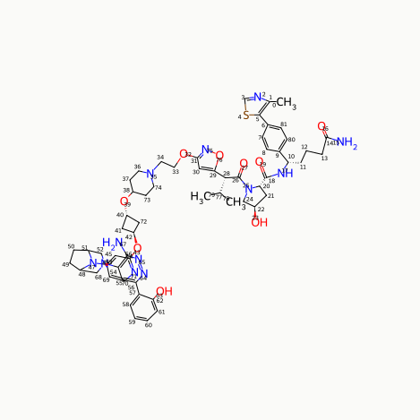 Cc1ncsc1-c1ccc([C@H](CCCC(N)=O)NC(=O)[C@@H]2C[C@@H](O)CN2C(=O)[C@@H](c2cc(OCCN3CCC(O[C@H]4C[C@H](Oc5cc(N6C7CCC6CN(c6cc(-c8ccccc8O)nnc6N)C7)ccn5)C4)CC3)no2)C(C)C)cc1